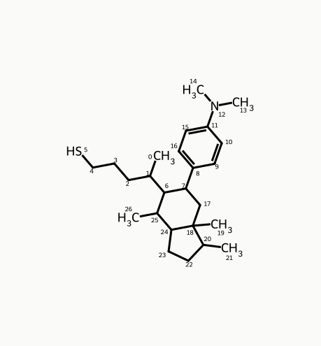 CC(CCCS)C1C(c2ccc(N(C)C)cc2)CC2(C)C(C)CCC2C1C